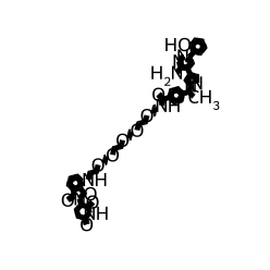 CC(c1ccc(C(=O)NCCOCCOCCOCCOCCOCCNc2cccc3c2C(=O)N(C2CCC(=O)NC2=O)C3=O)cc1)n1cc(-c2cc(-c3ccccc3O)nnc2N)cn1